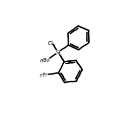 CCCC[Si](Cl)(c1ccccc1)c1ccccc1CCC